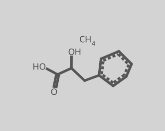 C.O=C(O)C(O)Cc1ccccc1